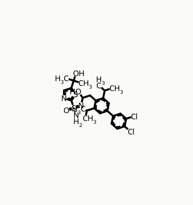 CC(C)c1cc(-c2ccc(Cl)c(Cl)c2)cc(C(C)C)c1CC(O)N=S(N)(=O)c1ncc(C(C)(C)O)s1